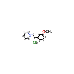 COc1cccc(CC[n+]2ccccc2)c1.[Cl-]